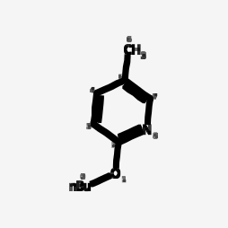 CCCCOc1ccc(C)cn1